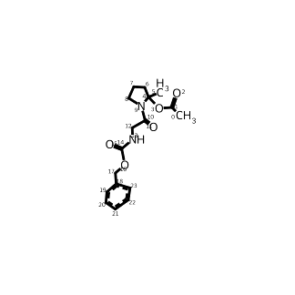 CC(=O)OC1(C)CCCN1C(=O)CNC(=O)OCc1ccccc1